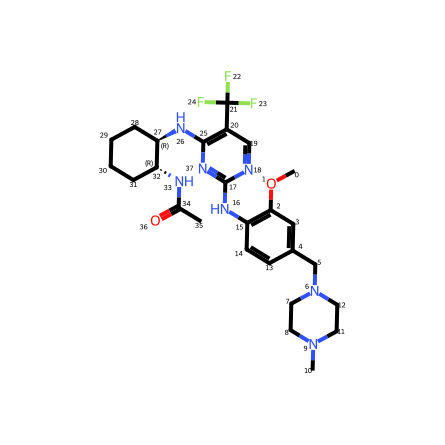 COc1cc(CN2CCN(C)CC2)ccc1Nc1ncc(C(F)(F)F)c(N[C@@H]2CCCC[C@H]2NC(C)=O)n1